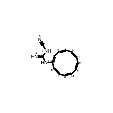 N#CNC(=N)NC1=C/C=C\C=C/C=C\C=C/C=C\1